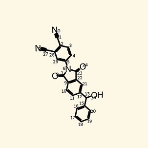 N#Cc1ccc(N2C(=O)c3ccc(C(O)c4ccccc4)cc3C2=O)cc1C#N